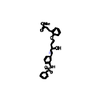 COC(=O)CCc1ccccc1OCCC(O)/C=C/c1cccc(NS(=O)(=O)c2ccccc2)c1